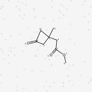 COC(=O)CC1(C)CC(=O)C1